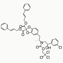 C[C@H](Cc1ccc2c(c1)OC(C(=O)OCC=Cc1ccccc1)(C(=O)OCC=Cc1ccccc1)O2)N(C[C@H](O)c1cccc(Cl)c1)C(=O)OCC(Cl)(Cl)Cl